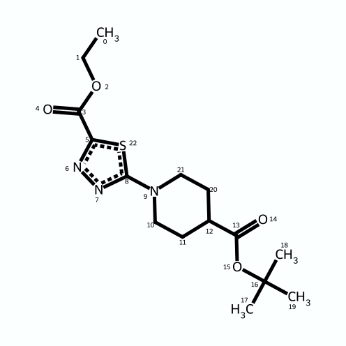 CCOC(=O)c1nnc(N2CCC(C(=O)OC(C)(C)C)CC2)s1